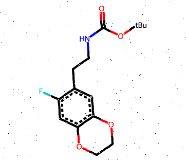 CC(C)(C)OC(=O)NCCc1cc2c(cc1F)OCCO2